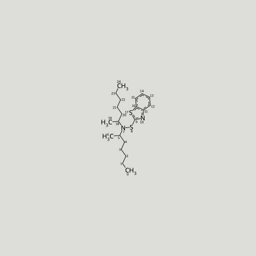 CCCCCC(C)N(Sc1nc2ccccc2s1)C(C)CCCCC